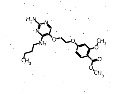 CCCCNc1nc(N)ncc1OCCOc1ccc(C(=O)OC)c(OC)c1